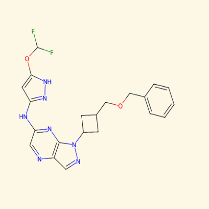 FC(F)Oc1cc(Nc2cnc3cnn(C4CC(COCc5ccccc5)C4)c3n2)n[nH]1